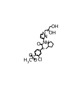 CS(=O)(=O)c1ccc([C@@H](CC2CCCC2)C(=O)Nc2ccn(C[C@@H](O)CO)n2)cc1Cl